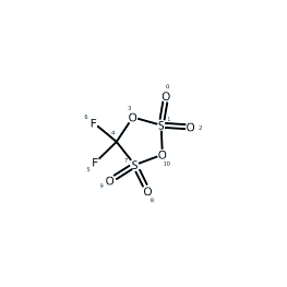 O=S1(=O)OC(F)(F)S(=O)(=O)O1